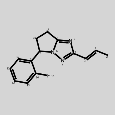 C/C=C/c1nc2n(n1)C(c1ccccc1F)CC2